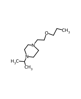 CCCOCCN1CCN(C(C)C)CC1